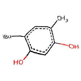 CCC(C)c1cc(C)c(O)cc1O